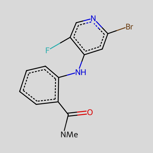 CNC(=O)c1ccccc1Nc1cc(Br)ncc1F